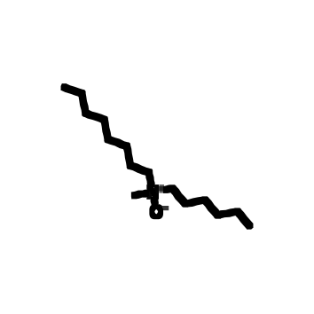 CCCCCCCC[N+](C)([O-])CCCCCC